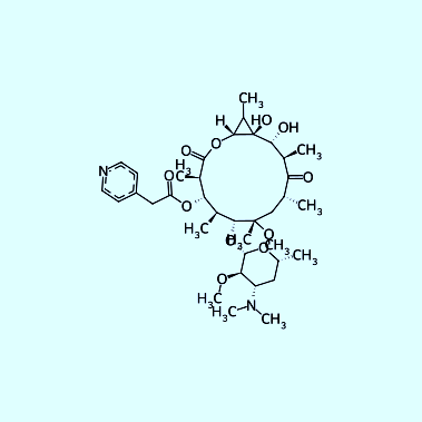 CO[C@H]1[C@H](O[C@@H]2[C@@H](C)[C@H](OC(=O)Cc3ccncc3)[C@@H](C)C(=O)O[C@@H]3C(C)[C@]3(O)[C@H](O)[C@@H](C)C(=O)[C@H](C)C[C@]2(C)OC)O[C@H](C)C[C@@H]1N(C)C